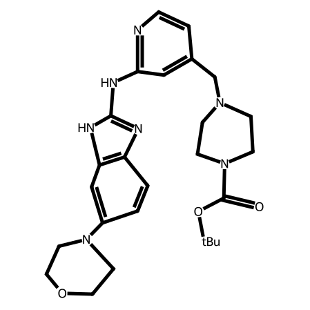 CC(C)(C)OC(=O)N1CCN(Cc2ccnc(Nc3nc4ccc(N5CCOCC5)cc4[nH]3)c2)CC1